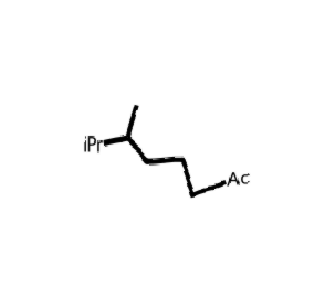 CC(=O)CCCC(C)C(C)C